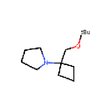 CC(C)(C)OCC1(N2CCCC2)CCC1